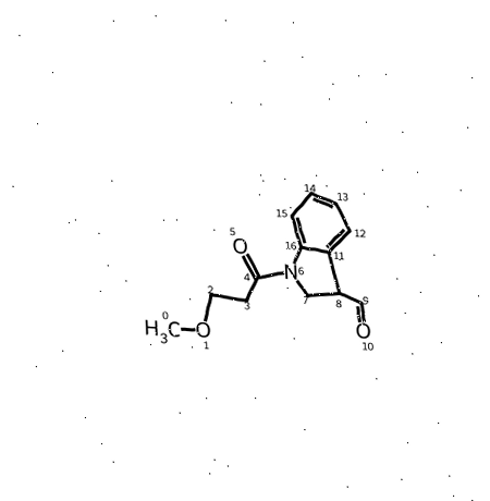 COCCC(=O)N1CC(C=O)c2ccccc21